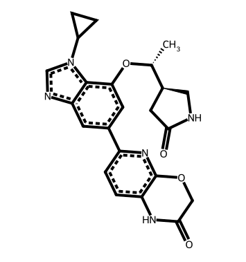 C[C@@H](Oc1cc(-c2ccc3c(n2)OCC(=O)N3)cc2ncn(C3CC3)c12)[C@H]1CNC(=O)C1